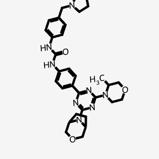 CC1COCCN1c1nc(-c2ccc(NC(=O)Nc3ccc(CN4CCCC4)cc3)cc2)nc(N2C3CCC2COC3)n1